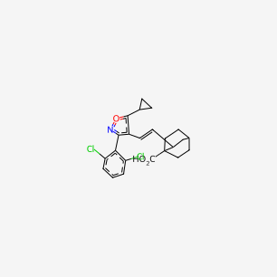 O=C(O)C12CCC(CC1)CC2C=Cc1c(-c2c(Cl)cccc2Cl)noc1C1CC1